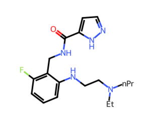 CCCN(CC)CCNc1cccc(F)c1CNC(=O)c1ccn[nH]1